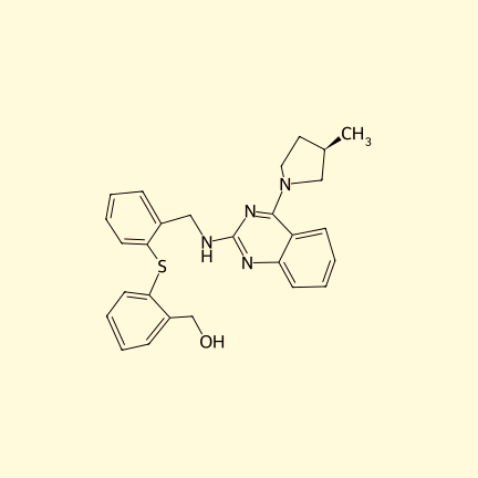 C[C@@H]1CCN(c2nc(NCc3ccccc3Sc3ccccc3CO)nc3ccccc23)C1